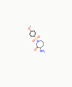 COc1ccc(S(=O)(=O)N2CCCC(N)C(=O)C2)cc1